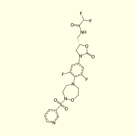 O=C(NC[C@H]1CN(c2cc(F)c(N3CCON(S(=O)(=O)c4cccnc4)CC3)c(F)c2)C(=O)O1)C(F)F